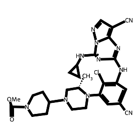 COC(=O)N1CCC(N2CCN(c3cc(C#N)cc(Nc4nc(NC5CC5)n5ncc(C#N)c5n4)c3Cl)[C@@H](C)C2)CC1